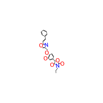 CCCN1C(=O)OC(c2ccc(OCc3coc(C=Cc4ccccc4)n3)c(OC)c2)C1=O